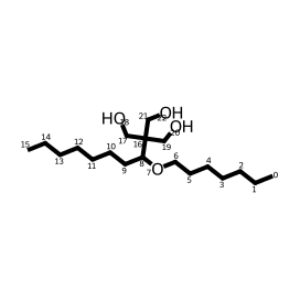 CCCCCCCOC(CCCCCCC)C(CO)(CO)CO